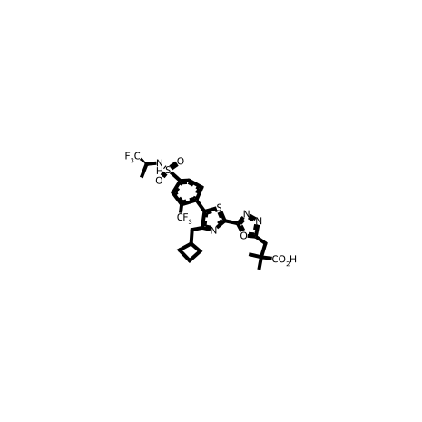 C[C@H](NS(=O)(=O)c1ccc(-c2sc(-c3nnc(CC(C)(C)C(=O)O)o3)nc2CC2CCC2)c(C(F)(F)F)c1)C(F)(F)F